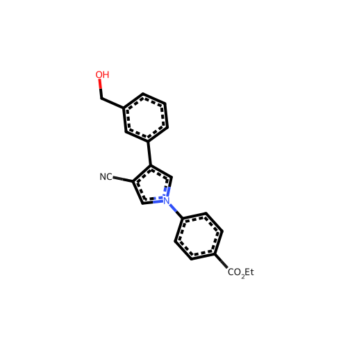 CCOC(=O)c1ccc(-n2cc(C#N)c(-c3cccc(CO)c3)c2)cc1